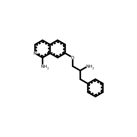 Nc1nccc2ccc(OCC(N)Cc3ccccc3)cc12